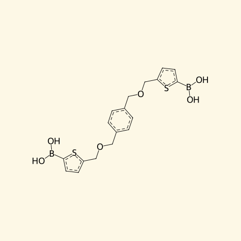 OB(O)c1ccc(COCc2ccc(COCc3ccc(B(O)O)s3)cc2)s1